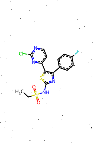 CCS(=O)(=O)Nc1nc(-c2ccc(F)cc2)c(-c2ccnc(Cl)n2)s1